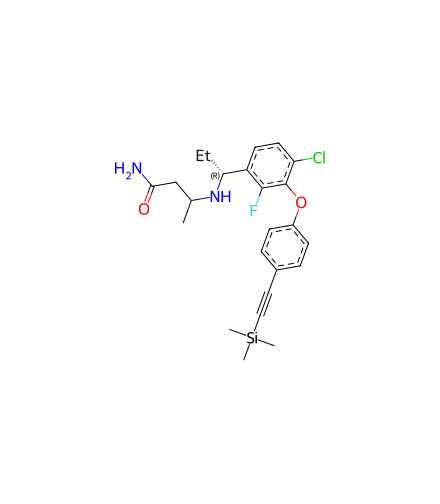 CC[C@@H](NC(C)CC(N)=O)c1ccc(Cl)c(Oc2ccc(C#C[Si](C)(C)C)cc2)c1F